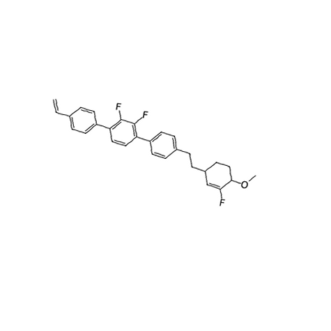 C=Cc1ccc(-c2ccc(-c3ccc(CCC4C=C(F)C(OC)CC4)cc3)c(F)c2F)cc1